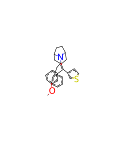 COc1cccc(C(=C2CC3CCC(C2)N3CCc2ccccc2)c2ccsc2)c1